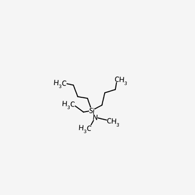 CCCC[Si](CC)(CCCC)N(C)C